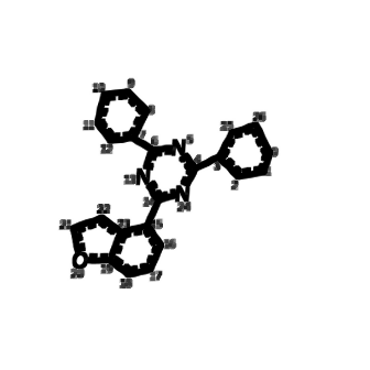 c1ccc(-c2nc(-c3ccccc3)nc(-c3cccc4occc34)n2)cc1